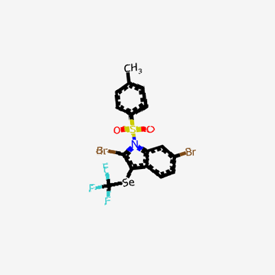 Cc1ccc(S(=O)(=O)n2c(Br)c([Se]C(F)(F)F)c3ccc(Br)cc32)cc1